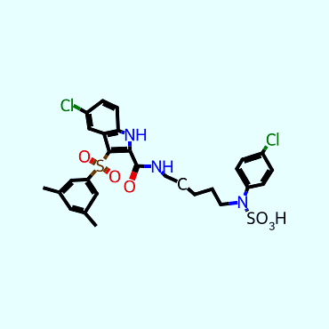 Cc1cc(C)cc(S(=O)(=O)c2c(C(=O)NCCCCCN(c3ccc(Cl)cc3)S(=O)(=O)O)[nH]c3ccc(Cl)cc23)c1